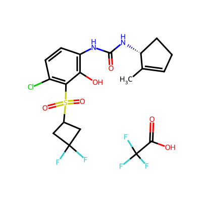 CC1=CCC[C@H]1NC(=O)Nc1ccc(Cl)c(S(=O)(=O)C2CC(F)(F)C2)c1O.O=C(O)C(F)(F)F